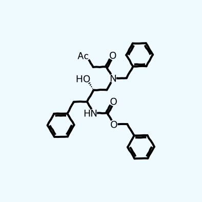 CC(=O)CC(=O)N(Cc1ccccc1)C[C@@H](O)C(Cc1ccccc1)NC(=O)OCc1ccccc1